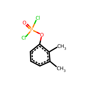 Cc1cccc(OP(=O)(Cl)Cl)c1C